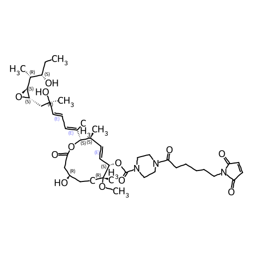 CC[C@H](O)[C@@H](C)[C@@H]1O[C@H]1C[C@@](C)(O)/C=C/C=C(\C)[C@H]1OC(=O)C[C@H](O)CC[C@@](C)(OC)[C@@H](OC(=O)N2CCN(C(=O)CCCCCN3C(=O)C=CC3=O)CC2)/C=C/[C@@H]1C